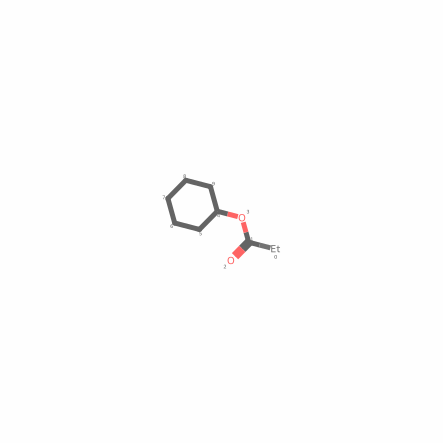 CCC(=O)OC1CCCCC1